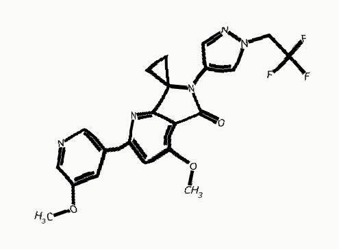 COc1cncc(-c2cc(OC)c3c(n2)C2(CC2)N(c2cnn(CC(F)(F)F)c2)C3=O)c1